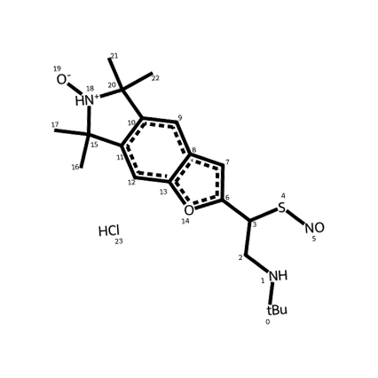 CC(C)(C)NCC(SN=O)c1cc2cc3c(cc2o1)C(C)(C)[NH+]([O-])C3(C)C.Cl